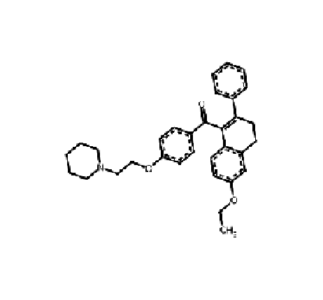 CCOc1ccc2c(c1)CCC(c1ccccc1)=C2C(=O)c1ccc(OCCN2CCCCC2)cc1